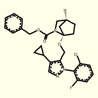 O=C(OCc1ccccc1)N1C[C@H]2CC[C@]1(OCc1c(C3CC3)cnn1-c1c(F)cccc1Cl)C2